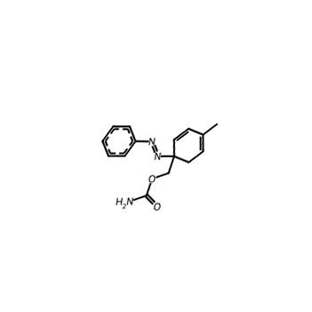 CC1=CCC(COC(N)=O)(N=Nc2ccccc2)C=C1